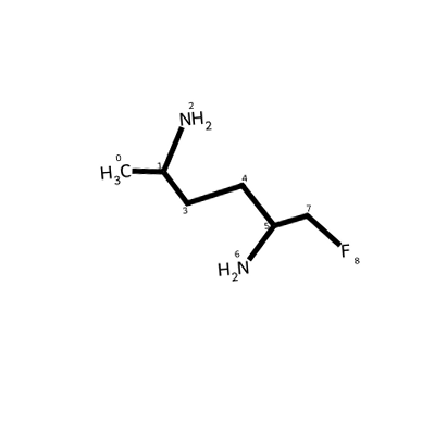 CC(N)CCC(N)CF